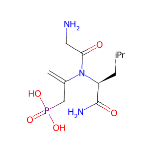 C=C(CP(=O)(O)O)N(C(=O)CN)[C@@H](CC(C)C)C(N)=O